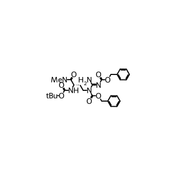 CNC(=O)[C@H](CCN(C(=O)OCc1ccccc1)C(N)=NC(=O)OCc1ccccc1)NC(=O)OC(C)(C)C